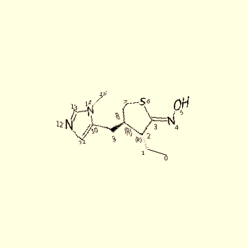 CC[C@H]1C(=NO)SC[C@@H]1Cc1cncn1C